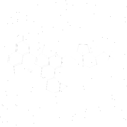 C#Cc1c(F)ccc2cc(O)cc(-c3nc(OC)c4c(N5CCOC6CC65)nc(OC[C@]56CCC[C@H]5N(CC(C)(C)O)CCC6)nc4c3F)c12